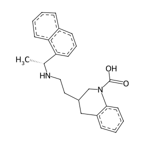 C[C@@H](NCCC1Cc2ccccc2N(C(=O)O)C1)c1cccc2ccccc12